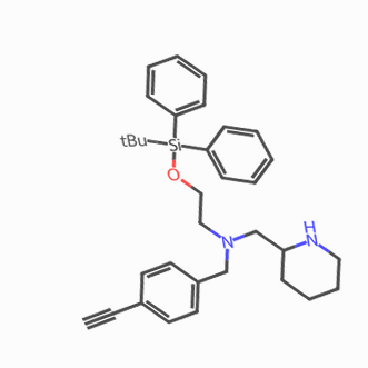 C#Cc1ccc(CN(CCO[Si](c2ccccc2)(c2ccccc2)C(C)(C)C)CC2CCCCN2)cc1